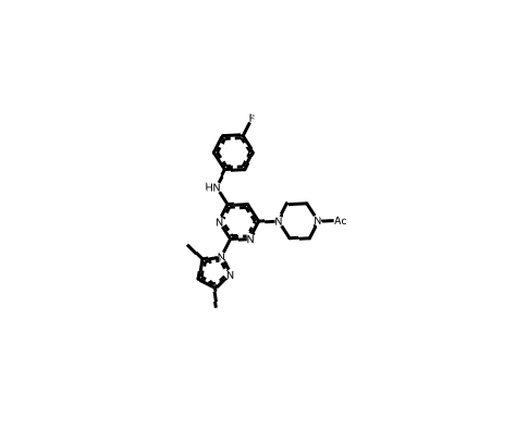 CC(=O)N1CCN(c2cc(Nc3ccc(F)cc3)nc(-n3nc(C)cc3C)n2)CC1